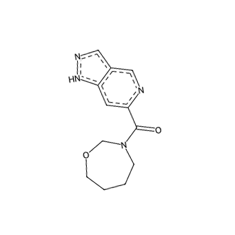 O=C(c1cc2[nH]ncc2cn1)N1CCCCOC1